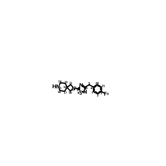 Fc1ccc(Cc2nsc(N3CC4(CCNCC4)C3)n2)cc1